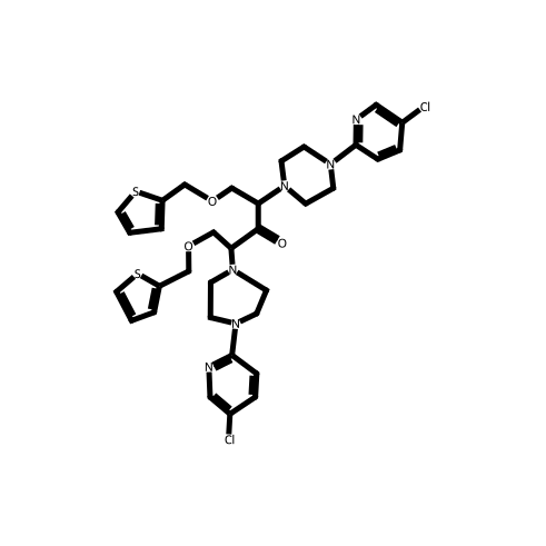 O=C(C(COCc1cccs1)N1CCN(c2ccc(Cl)cn2)CC1)C(COCc1cccs1)N1CCN(c2ccc(Cl)cn2)CC1